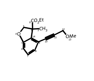 CCOC(=O)C1(C)COc2cccc(C#CCOC)c21